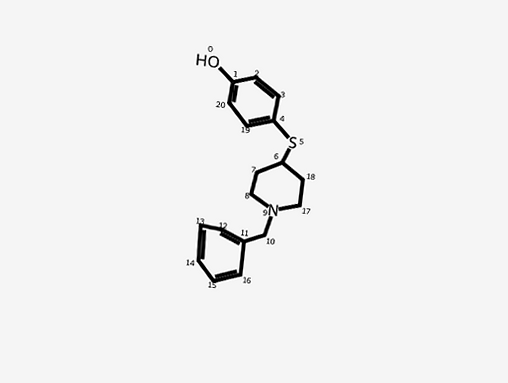 Oc1ccc(SC2CCN(Cc3ccccc3)CC2)cc1